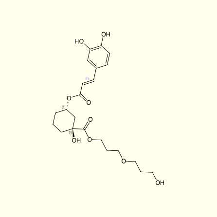 O=C(/C=C/c1ccc(O)c(O)c1)O[C@H]1CCC[C@@](O)(C(=O)OCCCOCCCO)C1